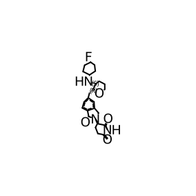 O=C1CCC(N2Cc3cc(C[C@H]4OCCC[C@@H]4N[C@H]4CC[C@H](F)CC4)ccc3C2=O)C(=O)N1